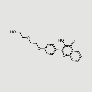 O=c1c(O)c(-c2ccc(OCCOCCO)cc2)oc2ccccc12